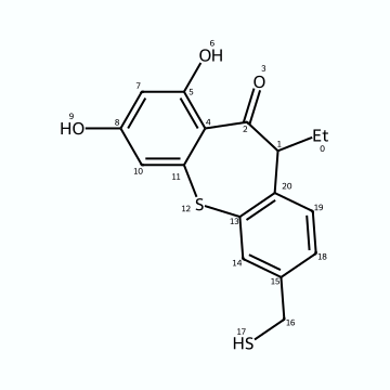 CCC1C(=O)c2c(O)cc(O)cc2Sc2cc(CS)ccc21